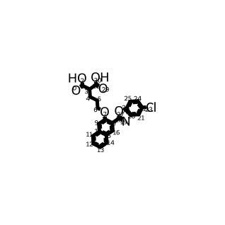 O=C(O)C(CCCOc1cc2ccccc2cc1-c1nc2cc(Cl)ccc2o1)C(=O)O